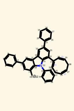 CCCCc1cc(-c2ccccc2)cc2c3cc(-c4ccccc4)cc(C4=C/C/C=C\C/C=C\4)c3n(-c3ccccc3)c12